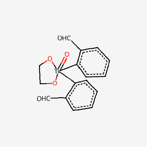 O=Cc1cccc[c]1[Ti]1(=[O])([c]2ccccc2C=O)[O]CC[O]1